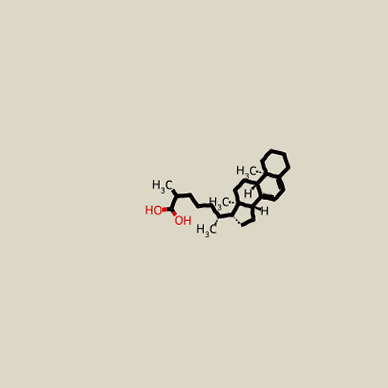 CC(CCC[C@@H](C)[C@H]1CC[C@H]2C3=CC=C4CCCC[C@]4(C)[C@H]3CC[C@]12C)C(O)O